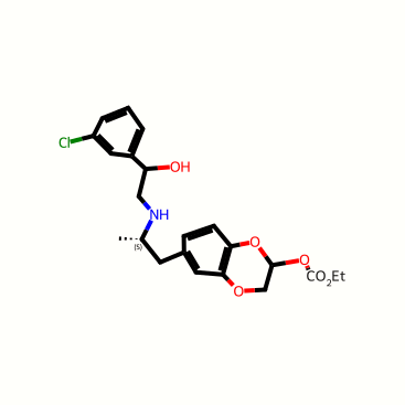 CCOC(=O)OC1COc2cc(C[C@H](C)NCC(O)c3cccc(Cl)c3)ccc2O1